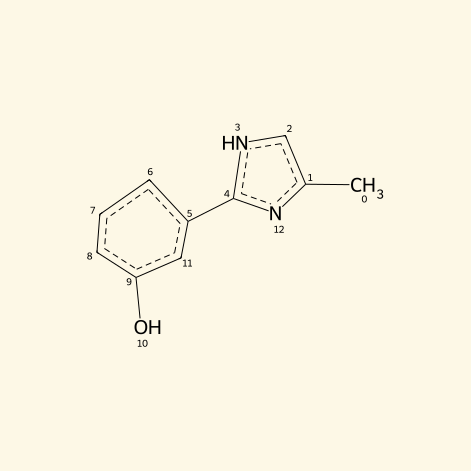 Cc1c[nH]c(-c2cccc(O)c2)n1